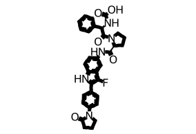 O=C(O)N[C@@H](C(=O)N1CCC[C@H]1C(=O)Nc1ccc2[nH]c(-c3ccc(N4CCCC4=O)cc3)c(F)c2c1)c1ccccc1